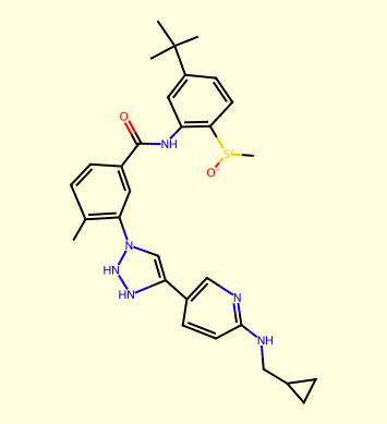 Cc1ccc(C(=O)Nc2cc(C(C)(C)C)ccc2[S+](C)[O-])cc1N1C=C(c2ccc(NCC3CC3)nc2)NN1